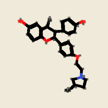 CCC1c2cc(O)ccc2OC(c2ccc(OCCN3CCC(C)C3)cc2)C1c1ccc(O)cc1